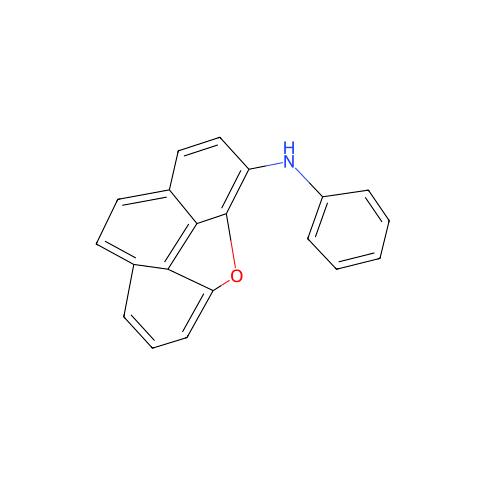 c1ccc(Nc2ccc3ccc4cccc5oc2c3c45)cc1